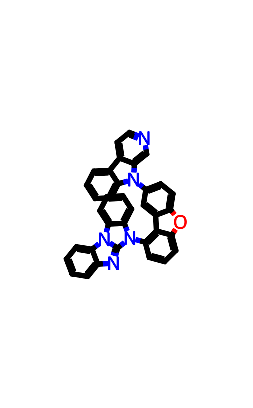 c1ccc2c(c1)nc1n(-c3cccc4oc5ccc(-n6c7ccccc7c7ccncc76)cc5c34)c3ccccc3n21